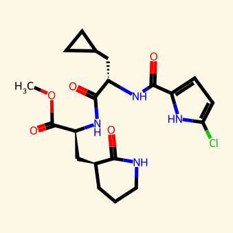 COC(=O)[C@H](C[C@@H]1CCCNC1=O)NC(=O)[C@H](CC1CC1)NC(=O)c1ccc(Cl)[nH]1